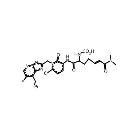 CC(C)Cc1c(F)cnc2nc(Cn3c(Cl)ccc(NC(=O)C(CC/C=C/C(=O)N(C)C)NC(=O)O)c3=O)[nH]c12